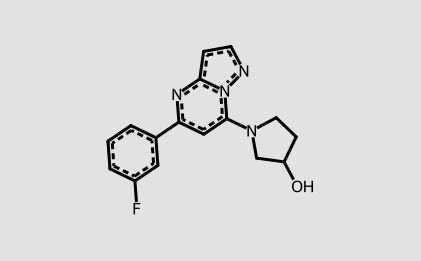 OC1CCN(c2cc(-c3cccc(F)c3)nc3ccnn23)C1